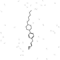 CCCCCCC1CCC(c2ccc(C/C=C/F)cc2)CC1